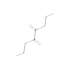 S=C(CCS)C(=S)CCS